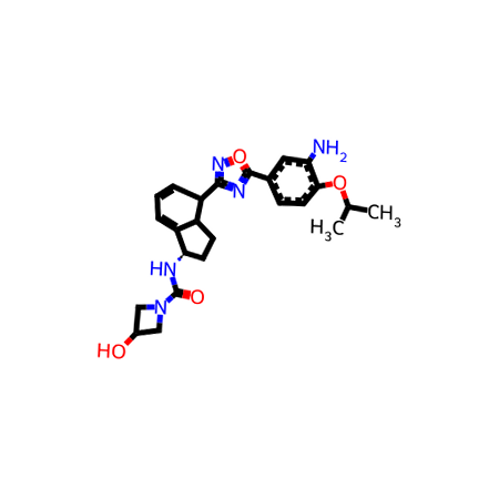 CC(C)Oc1ccc(-c2nc(C3C=CC=C4C3CC[C@@H]4NC(=O)N3CC(O)C3)no2)cc1N